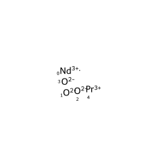 [Nd+3].[O-2].[O-2].[O-2].[Pr+3]